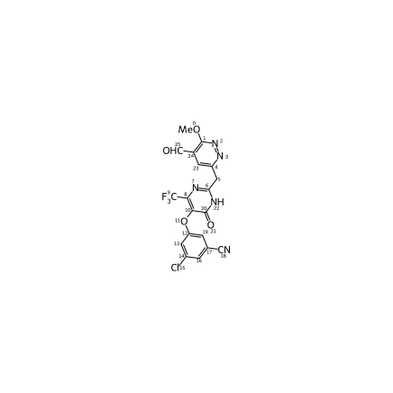 COc1nnc(Cc2nc(C(F)(F)F)c(Oc3cc(Cl)cc(C#N)c3)c(=O)[nH]2)cc1C=O